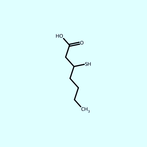 CCCCC(S)CC(=O)O